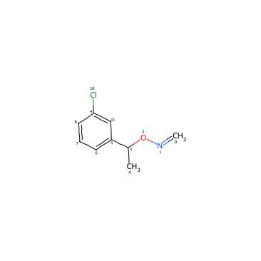 C=NOC(C)c1cccc(Cl)c1